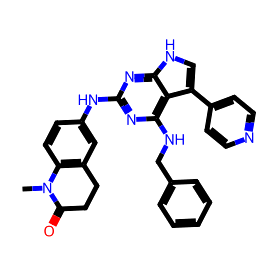 CN1C(=O)CCc2cc(Nc3nc(NCc4ccccc4)c4c(-c5ccncc5)c[nH]c4n3)ccc21